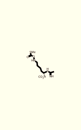 CSC(=O)ONCCCC[C@H](NC(C)=N)C(=O)O